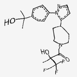 CC(C)(O)c1ccc(-n2nccc2C2CCN(C(=O)C(C)(O)C(F)(F)F)CC2)cc1